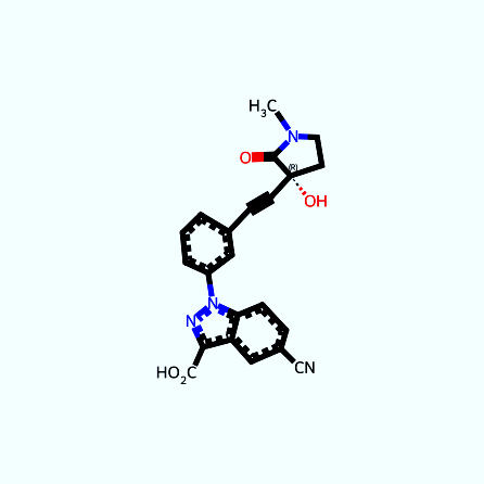 CN1CC[C@@](O)(C#Cc2cccc(-n3nc(C(=O)O)c4cc(C#N)ccc43)c2)C1=O